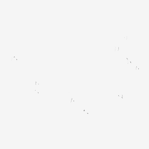 [2H]C([2H])([2H])n1cc(-c2cc3cc(NC(=O)c4cnn(C5CCNCC5)c4)ncc3cn2)cn1